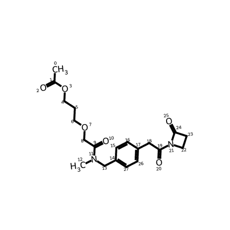 CC(=O)OCCCOCC(=O)N(C)Cc1ccc(CC(=O)N2CCC2=O)cc1